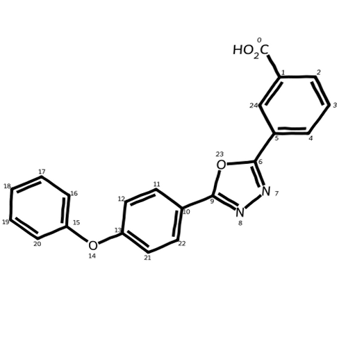 O=C(O)c1cccc(-c2nnc(-c3ccc(Oc4ccccc4)cc3)o2)c1